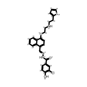 O=C(N/N=C/c1ccc(OCCNCCc2cccs2)c2ccccc12)c1ccc(O)c(Cl)c1